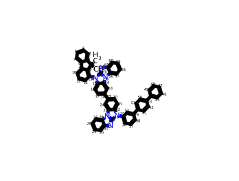 CC1(C)c2ccccc2-c2cccc(-n3c4ccc(-c5ccc6c(c5)n5c7ccccc7nc5n6-c5cccc(-c6ccc(-c7ccccc7)cc6)c5)cc4n4c5ccccc5nc34)c21